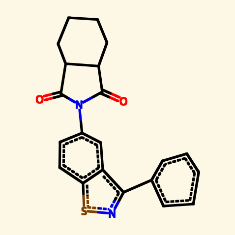 O=C1C2CCCCC2C(=O)N1c1ccc2snc(-c3ccccc3)c2c1